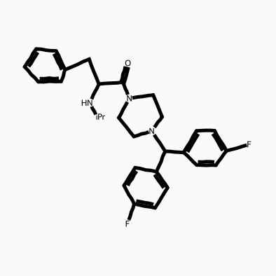 CC(C)NC(Cc1ccccc1)C(=O)N1CCN(C(c2ccc(F)cc2)c2ccc(F)cc2)CC1